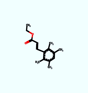 CCOC(=O)/C=C/c1c(C)c(C)cc(C)c1C